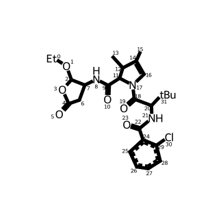 CCOC1OC(=O)CC1NC(=O)C1C(C)C(C)=CN1C(=O)C(NC(=O)c1ccccc1Cl)C(C)(C)C